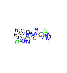 CC(c1c(NC(=O)Nc2cnc(-n3nccn3)c(Cl)c2)cnn2cc(Cl)nc12)N(C)C